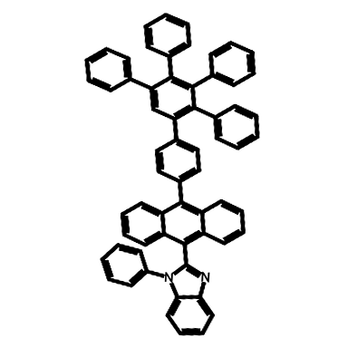 c1ccc(-c2cc(-c3ccc(-c4c5ccccc5c(-c5nc6ccccc6n5-c5ccccc5)c5ccccc45)cc3)c(-c3ccccc3)c(-c3ccccc3)c2-c2ccccc2)cc1